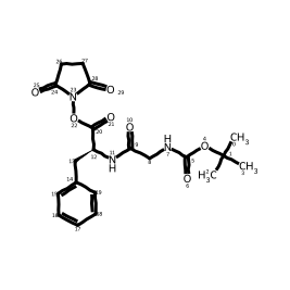 CC(C)(C)OC(=O)NCC(=O)N[C@@H](Cc1ccccc1)C(=O)ON1C(=O)CCC1=O